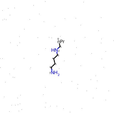 C[CH]CCNCCCCN